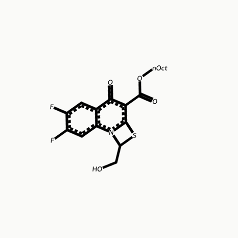 CCCCCCCCOC(=O)c1c2n(c3cc(F)c(F)cc3c1=O)C(CO)S2